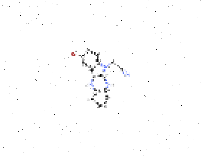 N#CCn1c2ccc(Br)cc2c2nc3ccccc3nc21